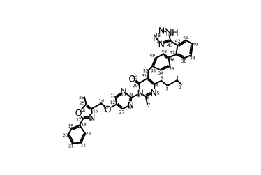 CCCCc1nc(C)n(-c2ncc(OCc3nc(-c4ccccc4)oc3C)cn2)c(=O)c1Cc1ccc(-c2ccccc2-c2nnn[nH]2)cc1